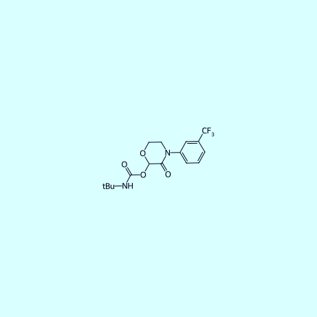 CC(C)(C)NC(=O)OC1OCCN(c2cccc(C(F)(F)F)c2)C1=O